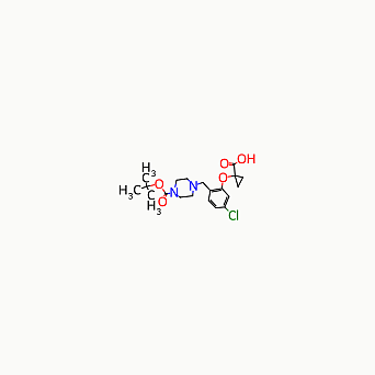 CC(C)(C)OC(=O)N1CCN(Cc2ccc(Cl)cc2OC2(C(=O)O)CC2)CC1